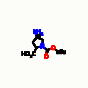 CCCCOC(=O)N1C[C@H](N)CC1C(=O)O